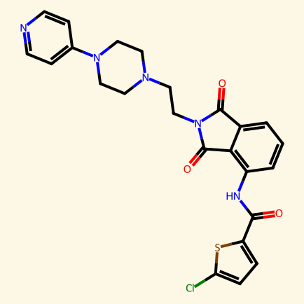 O=C(Nc1cccc2c1C(=O)N(CCN1CCN(c3ccncc3)CC1)C2=O)c1ccc(Cl)s1